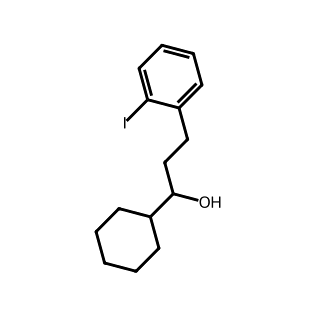 OC(CCc1ccccc1I)C1CCCCC1